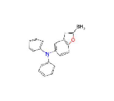 Bc1cc2cc(N(c3ccccc3)c3ccccc3)ccc2o1